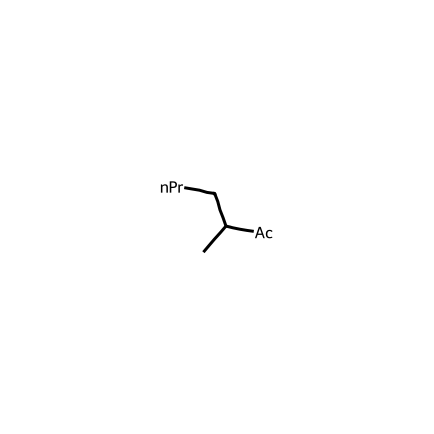 C[CH]CCC(C)C(C)=O